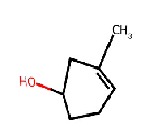 CC1=CCCC(O)C1